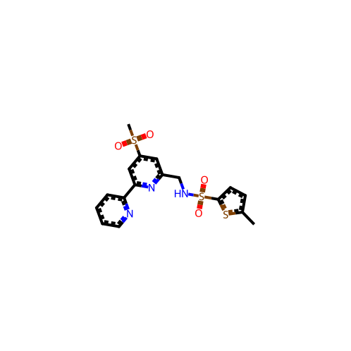 Cc1ccc(S(=O)(=O)NCc2cc(S(C)(=O)=O)cc(-c3ccccn3)n2)s1